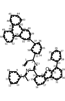 C=CC(/N=C(\N=C(/C)c1ccccc1)c1cccc2c1oc1c(-c3ccccc3)cccc12)c1cccc(-c2ccc3c4ccccc4c4ccccc4c3c2)c1